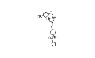 N#Cc1ccc2c(c1)[C@@H]1CN(CC[C@H]3CC[C@H](NC(=O)C4CCCC4)CC3)C[C@H]1CO2